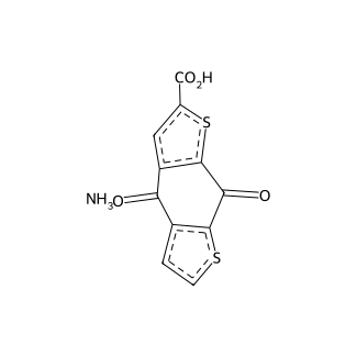 N.O=C(O)c1cc2c(s1)C(=O)c1sccc1C2=O